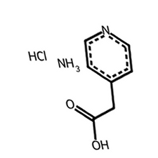 Cl.N.O=C(O)Cc1ccncc1